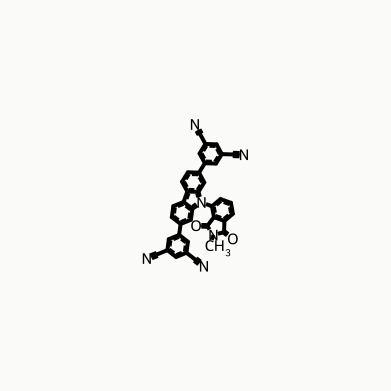 CN1C(=O)c2cccc(-n3c4cc(-c5cc(C#N)cc(C#N)c5)ccc4c4ccc(-c5cc(C#N)cc(C#N)c5)cc43)c2C1=O